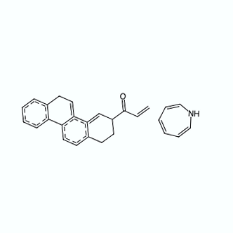 C1=CC=CNC=C1.C=CC(=O)C1C=c2c(ccc3c2=CCc2ccccc2-3)CC1